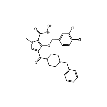 Cn1cc(C(=O)N2CCN(Cc3ccccc3)CC2)c(OCc2ccc(Cl)c(Cl)c2)c1C(=O)NO